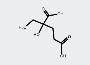 CCC(O)(CCC(=O)O)C(=O)O